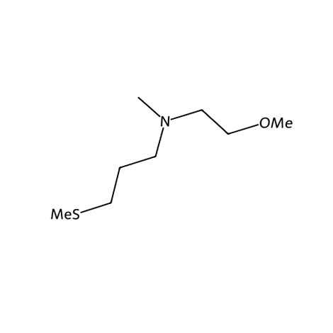 COCCN(C)CCCSC